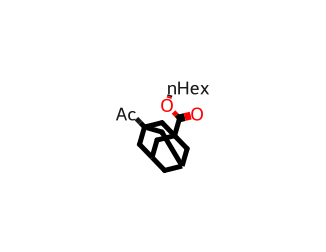 CCCCCCOC(=O)C12CC3CC(CC(C(C)=O)(C3)C1)C2